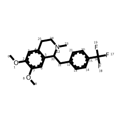 COc1cc2c(cc1OC)C(Cc1ccc(C(F)(F)F)cc1)N(C)CC2